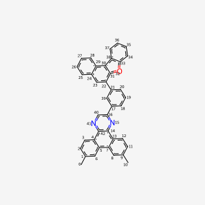 Cc1ccc2c(c1)c1cc(C)ccc1c1nc(-c3cccc(-c4cc5ccccc5c5c4oc4ccccc45)c3)cnc21